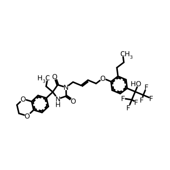 CCCc1cc(C(O)(C(F)(F)F)C(F)(F)F)ccc1OC/C=C/CN1C(=O)NC(CC)(c2ccc3c(c2)OCCO3)C1=O